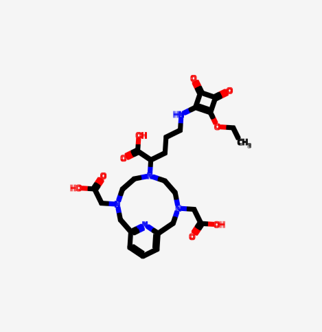 CCOc1c(NCCCC(C(=O)O)N2CCN(CC(=O)O)Cc3cccc(n3)CN(CC(=O)O)CC2)c(=O)c1=O